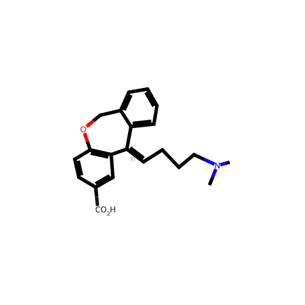 CN(C)CCC/C=C1\c2ccccc2COc2ccc(C(=O)O)cc21